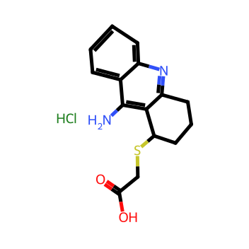 Cl.Nc1c2c(nc3ccccc13)CCCC2SCC(=O)O